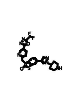 O=c1sc2cc(-c3cnn(C4CCNCC4)c3)ccc2n1Cc1ccc(-c2nnc(C(F)F)o2)cn1